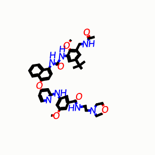 COc1cc(Nc2cc(Oc3ccc(NC(=O)Nc4cc(C(C)(C)C)cc(CNC(C)=O)c4OC)c4ccccc34)ccn2)cc(C(=O)NCCN2CCOCC2)c1